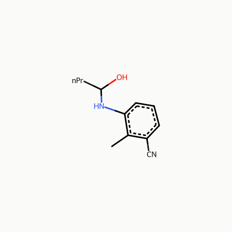 CCCC(O)Nc1cccc(C#N)c1C